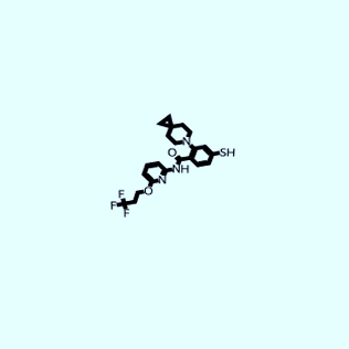 O=C(Nc1cccc(OCCC(F)(F)F)n1)c1ccc(S)cc1N1CCC2(CC1)CC2